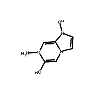 NN1C=C2N(O)C=CN2C=C1O